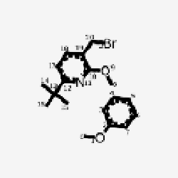 COc1ccccc1.COc1nc(C(C)(C)C)ccc1CBr